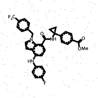 COC(=O)c1ccc(C2(NC(=O)c3ccc(Nc4ccc(F)cc4)c4ccn(Cc5ccc(C(F)(F)F)cc5)c34)CC2)cc1